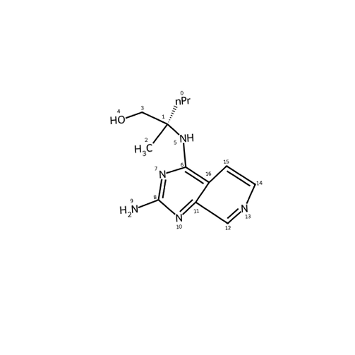 CCC[C@](C)(CO)Nc1nc(N)nc2cnccc12